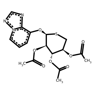 CC(=O)O[C@@H]1[C@@H](OC(C)=O)[C@@H](Oc2cccn3ncnc23)SC[C@H]1OC(C)=O